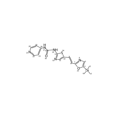 C[Si](C)(C)c1cnc(/C=C/c2cnc(NC(=O)Nc3ccncc3)s2)o1